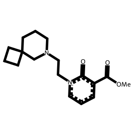 COC(=O)c1cccn(CCN2CCCC3(CCC3)C2)c1=O